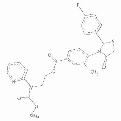 Cc1cc(C(=O)OCCN(C(=O)OC(C)(C)C)c2ccccn2)ccc1N1C(=O)CSC1c1ccc(F)cc1